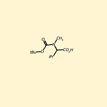 CC(C)C(C(=O)O)N(C)C(=O)OC(C)(C)C